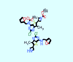 Cc1c(C2CN(C(=O)OC(C)(C)C)C2)sc2c(N(Cc3ccco3)C(=O)OC(C)(C)C)nc(Cl)nc12.Cc1c(C2CNC2)sc2c(NCc3ccco3)nc(Cl)nc12